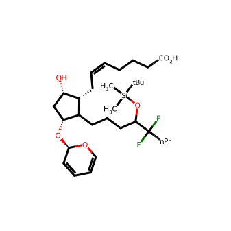 CCCC(F)(F)C(CCCC1[C@@H](C/C=C\CCCC(=O)O)[C@@H](O)C[C@H]1O[C@@H]1C=CC=CO1)O[Si](C)(C)C(C)(C)C